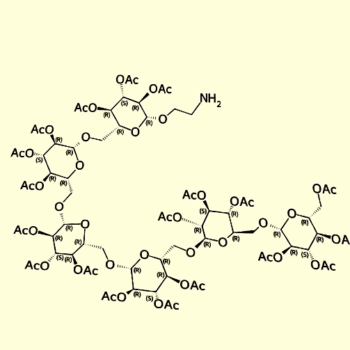 CC(=O)OC[C@H]1O[C@@H](OC[C@H]2O[C@@H](OC[C@H]3O[C@@H](OC[C@H]4O[C@@H](OC[C@H]5O[C@@H](OC[C@H]6O[C@@H](OCCN)[C@H](OC(C)=O)[C@@H](OC(C)=O)[C@@H]6OC(C)=O)[C@H](OC(C)=O)[C@@H](OC(C)=O)[C@@H]5OC(C)=O)[C@H](OC(C)=O)[C@@H](OC(C)=O)[C@@H]4OC(C)=O)[C@H](OC(C)=O)[C@@H](OC(C)=O)[C@@H]3OC(C)=O)[C@H](OC(C)=O)[C@@H](OC(C)=O)[C@@H]2OC(C)=O)[C@H](OC(C)=O)[C@@H](OC(C)=O)[C@@H]1OC(C)=O